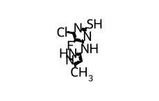 Cc1cc(Nc2nc(S)nc(Cl)c2F)[nH]n1